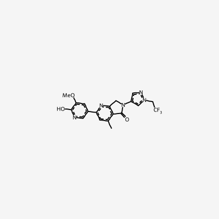 COc1cc(-c2cc(C)c3c(n2)CN(c2cnn(CC(F)(F)F)c2)C3=O)cnc1O